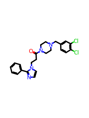 O=C(CCn1ccnc1-c1ccccc1)N1CCN(Cc2ccc(Cl)c(Cl)c2)CC1